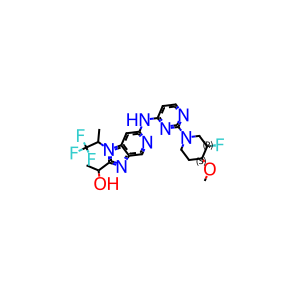 CO[C@H]1CCN(c2nccc(Nc3cc4c(cn3)nc(C(C)O)n4C(C)C(F)(F)F)n2)C[C@H]1F